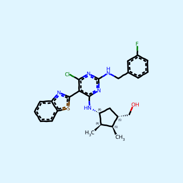 C[C@@H]1[C@@H](CO)C[C@@H](Nc2nc(NCc3cccc(F)c3)nc(Cl)c2-c2nc3ccccc3s2)[C@@H]1C